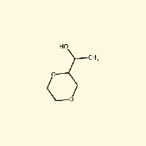 CC(O)C1CO[CH]CO1